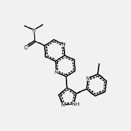 Cc1cccc(-c2[nH]ncc2-c2ccc3ncc(C(=O)N(C)C)cc3n2)n1